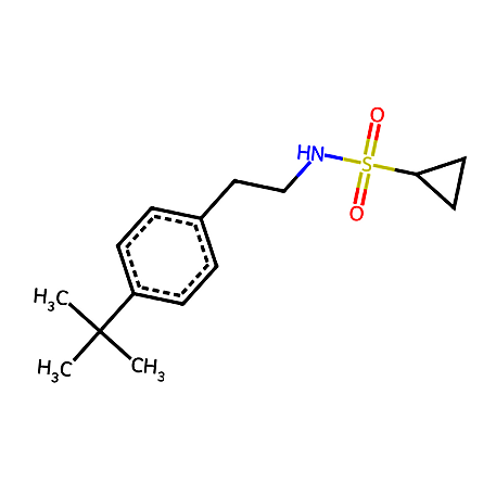 CC(C)(C)c1ccc(CCNS(=O)(=O)C2CC2)cc1